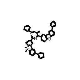 C=C1C=C(c2ccccc2)N=C(c2ccc3c(c2)-c2cc(-c4ccccc4)ccc2[Si]3(C)C)N=C1c1ccc2oc3ccc(-c4ccccc4)cc3c2c1